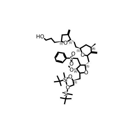 C=C1C(C[C@@H]2OC(C[C@@H](CO[Si](C)(C)C(C)(C)C)O[Si](C)(C)C(C)(C)C)[C@H](OC)C2CS(=O)(=O)c2ccccc2)O[C@@H](CC[C@@H]2O[C@@H](CCCO)CC2=C)C[C@H]1C